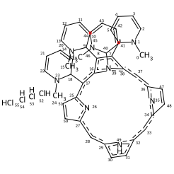 CN1C=CC=CC1c1c(C2C=CC=CN2C)c2c(C3C=CC=CN3C)c3nc(cc4ccc(cc5nc(cc1n2C1C=CC=CN1C)C=C5)[nH]4)C=C3.Cl.Cl.Cl.Cl